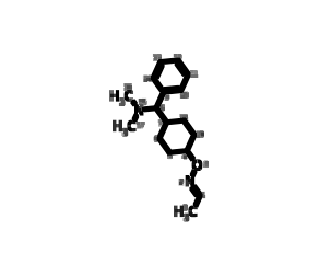 CC=NOC1CCC(C(c2ccccc2)N(C)C)CC1